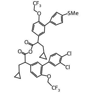 CSc1ccc(-c2cc(C(CC3CC3)C(=O)OC(=O)C(CC3CC3)c3ccc(OCC(F)(F)F)c(-c4ccc(Cl)c(Cl)c4)c3)ccc2OCC(F)(F)F)cc1